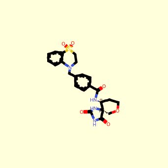 O=C1NC(=O)[C@@]2(COCC[C@H]2NC(=O)c2ccc(CN3CCS(=O)(=O)c4ccccc43)cc2)N1